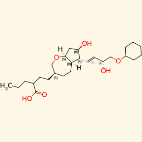 CCCC(CC[C@@H]1CC[C@@H]2[C@@H](/C=C/[C@@H](O)COC3CCCCC3)[C@H](O)C[C@@H]2OC1)C(=O)O